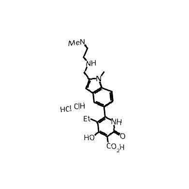 CCc1c(-c2ccc3c(c2)cc(CNCCNC)n3C)[nH]c(=O)c(C(=O)O)c1O.Cl.Cl